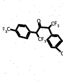 O=C(C(c1ccc(C(F)(F)F)cc1)C(F)(F)F)C(c1ccc(C(F)(F)F)cc1)C(F)(F)F